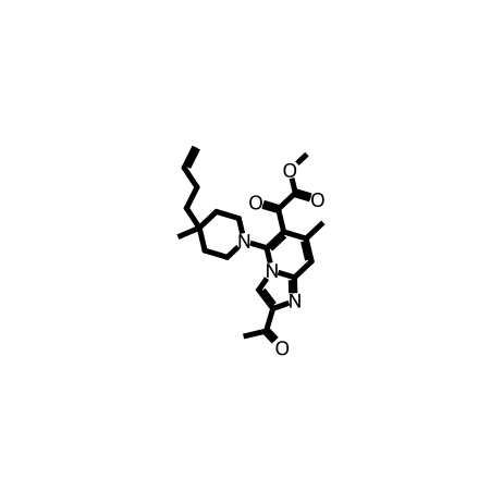 C=CCCC1(C)CCN(c2c(C(=O)C(=O)OC)c(C)cc3nc(C(C)=O)cn23)CC1